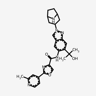 Cc1cc(-c2nc(C(=O)Nc3cc4cn(C5CC6CCC(C5)N6)nc4cc3C(C)(C)O)co2)ccn1